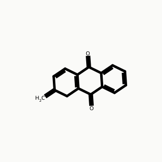 C=C1C=CC2=C(C1)C(=O)c1ccccc1C2=O